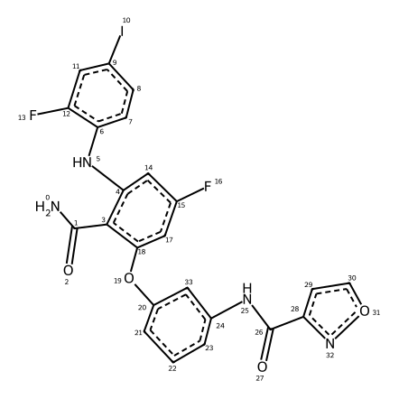 NC(=O)c1c(Nc2ccc(I)cc2F)cc(F)cc1Oc1cccc(NC(=O)c2ccon2)c1